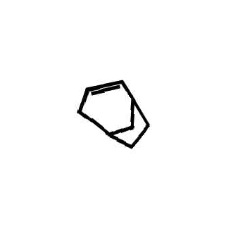 C1=C[C]2CCC(C1)C2